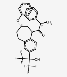 C[C@@H](C(=O)N1C[C@@H](Oc2ccccc2)CCc2cc(C(O)(C(F)(F)F)C(F)(F)F)ccc21)c1ccccc1